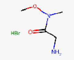 Br.CON(C)C(=O)CN